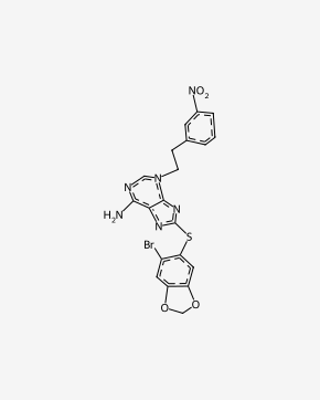 Nc1ncn(CCc2cccc([N+](=O)[O-])c2)c2nc(Sc3cc4c(cc3Br)OCO4)nc1-2